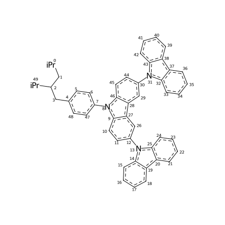 CC(C)CC(Cc1ccc(-n2c3ccc(-n4c5ccccc5c5ccccc54)cc3c3cc(-n4c5ccccc5c5ccccc54)ccc32)cc1)C(C)C